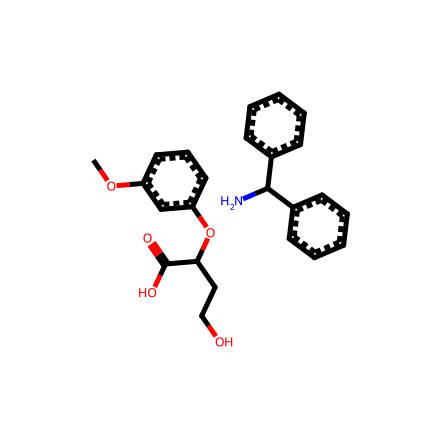 COc1cccc(OC(CCO)C(=O)O)c1.NC(c1ccccc1)c1ccccc1